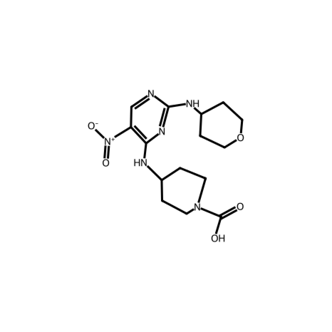 O=C(O)N1CCC(Nc2nc(NC3CCOCC3)ncc2[N+](=O)[O-])CC1